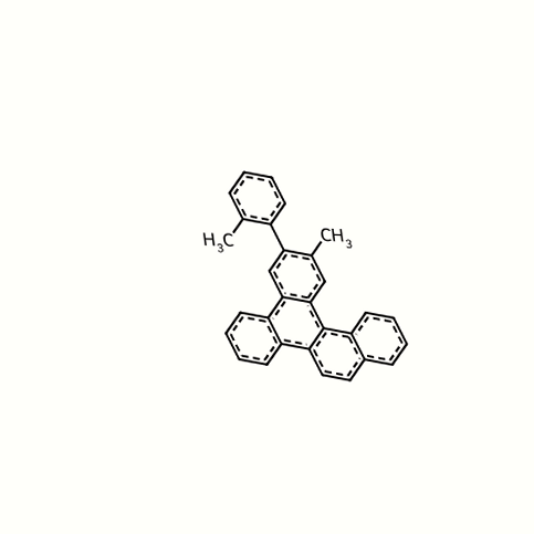 Cc1ccccc1-c1cc2c3ccccc3c3ccc4ccccc4c3c2cc1C